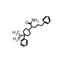 CN(C)C1(c2ccccc2)CCC(C(CCCc2ccccc2)C(N)=O)CC1